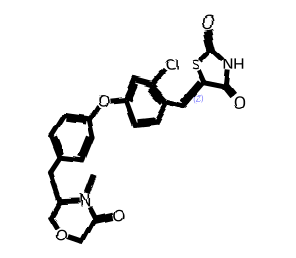 CN1C(=O)COCC1Cc1ccc(Oc2ccc(/C=C3\SC(=O)NC3=O)c(Cl)c2)cc1